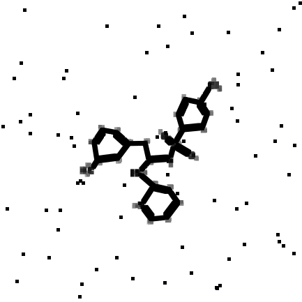 Cc1ccc(S(=O)(=O)N=C(Cc2cccc(C)c2)Nc2ccccn2)cc1